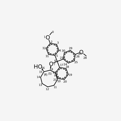 COc1ccc(C(O[C@H]2CCCCCC[C@H]2O)(c2ccccc2)c2ccc(OC)cc2)cc1